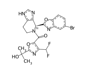 CC(C)(O)c1nc(C(F)F)c(C(=O)N2CCc3[nH]cnc3[C@H]2c2nc3cc(Br)ccc3o2)o1